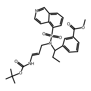 CCC(c1cccc(C(=O)OC)c1)N(CC=CNC(=O)OC(C)(C)C)S(=O)(=O)c1cccc2cnccc12